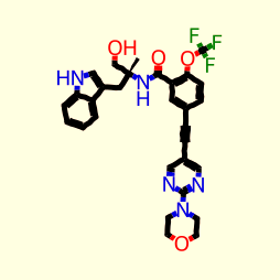 C[C@](CO)(Cc1c[nH]c2ccccc12)NC(=O)c1cc(C#Cc2cnc(N3CCOCC3)nc2)ccc1OC(F)(F)F